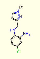 CCn1ccc(CNc2ccc(Cl)cc2N)n1